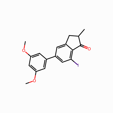 COc1cc(OC)cc(-c2cc(I)c3c(c2)CC(C)C3=O)c1